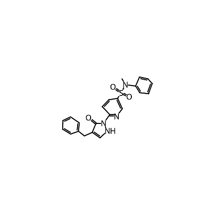 CN(c1ccccc1)S(=O)(=O)c1ccc(-n2[nH]cc(Cc3ccccc3)c2=O)nc1